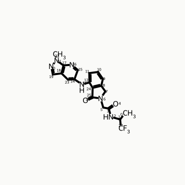 CC(NC(=O)CN1Cc2cccc(Nc3cnc4c(cnn4C)c3)c2C1=O)C(F)(F)F